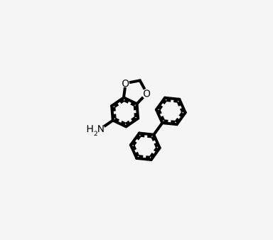 Nc1ccc2c(c1)OCO2.c1ccc(-c2ccccc2)cc1